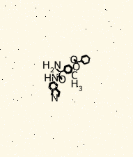 Cc1cc(C(CN)C(=O)Nc2ccc3cnccc3c2)ccc1OC(=O)C1=CCCC=C1